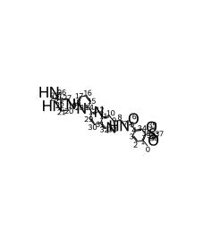 Cc1ccc(C(=O)NCc2cc3nc(-c4cccc(N5CCNC6(CNC6)C5)n4)ccc3cn2)cc1S(C)(=O)=O